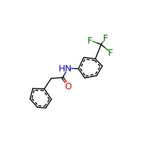 O=C(Cc1ccccc1)Nc1cccc(C(F)(F)F)c1